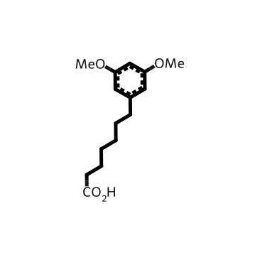 COc1cc(CCCCCCC(=O)O)cc(OC)c1